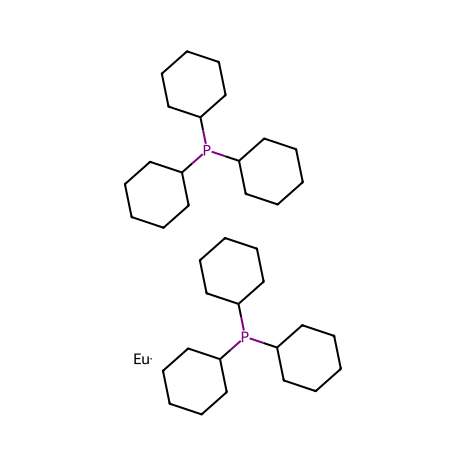 C1CCC(P(C2CCCCC2)C2CCCCC2)CC1.C1CCC(P(C2CCCCC2)C2CCCCC2)CC1.[Eu]